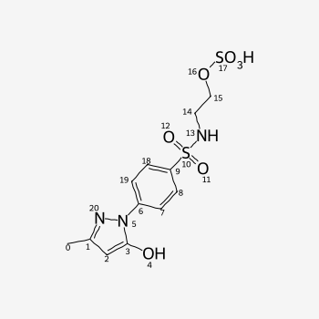 Cc1cc(O)n(-c2ccc(S(=O)(=O)NCCOS(=O)(=O)O)cc2)n1